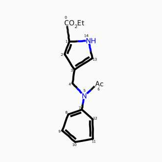 CCOC(=O)c1cc(CN(C(C)=O)c2ccccc2)c[nH]1